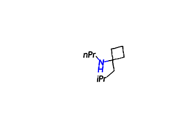 CCCNC1(CC(C)C)CCC1